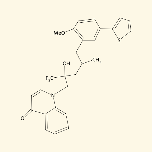 COc1ccc(-c2cccs2)cc1CC(C)CC(O)(Cn1ccc(=O)c2ccccc21)C(F)(F)F